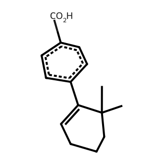 CC1(C)CCCC=C1c1ccc(C(=O)O)cc1